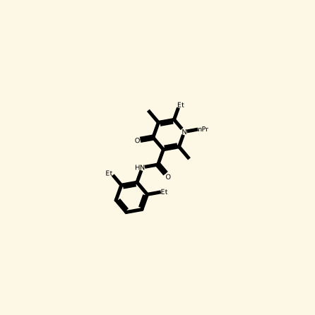 CCCn1c(C)c(C(=O)Nc2c(CC)cccc2CC)c(=O)c(C)c1CC